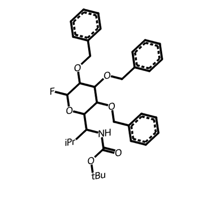 CC(C)C(NC(=O)OC(C)(C)C)C1OC(F)C(OCc2ccccc2)C(OCc2ccccc2)C1OCc1ccccc1